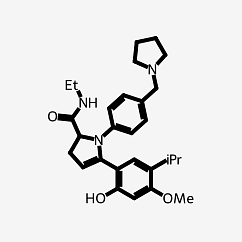 CCNC(=O)C1CC=C(c2cc(C(C)C)c(OC)cc2O)N1c1ccc(CN2CCCC2)cc1